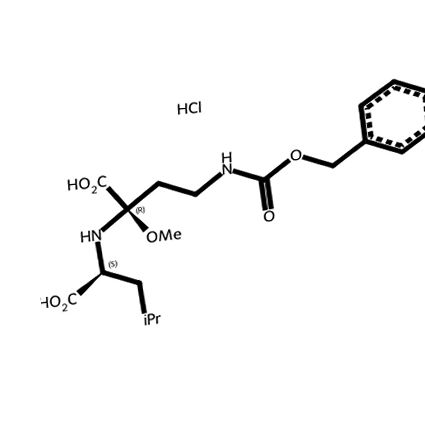 CO[C@@](CCNC(=O)OCc1ccccc1)(N[C@@H](CC(C)C)C(=O)O)C(=O)O.Cl